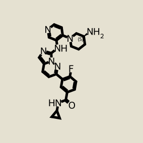 N[C@H]1CCCN(c2ccncc2Nc2ncc3ccc(-c4cc(C(=O)NC5CC5)ccc4F)nn23)C1